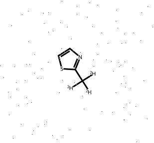 [2H]C([2H])([2H])c1nccs1